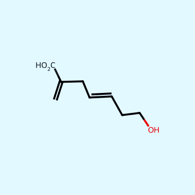 C=C(CC=CCCO)C(=O)O